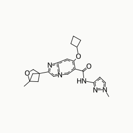 Cn1ccc(NC(=O)c2cn3cc(C45COC(C)(C4)C5)nc3cc2OC2CCC2)n1